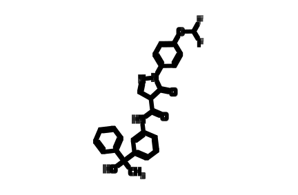 CC(O)(c1ccccc1)c1cccc(NC(=O)C2C=NN(c3ccc(OC(F)F)cc3)C2=O)c1